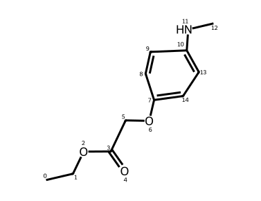 CCOC(=O)COc1ccc(NC)cc1